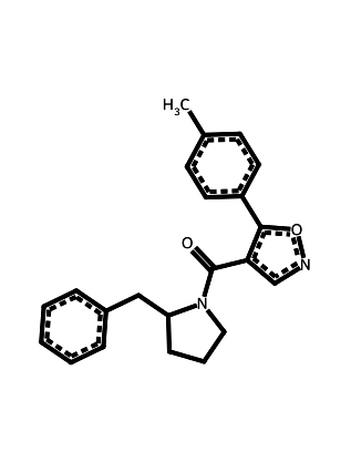 Cc1ccc(-c2oncc2C(=O)N2CCCC2Cc2ccccc2)cc1